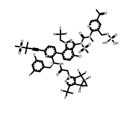 CC(=O)c1cnc(N(C)C(=O)N(c2nn(CC(F)(F)F)c3c(-c4ccc(C#CC(C)(C)S(C)(=O)=O)nc4[C@H](Cc4cc(F)cc(F)c4)NC(=O)Cn4nc(C(F)(F)F)c5c4C(F)(F)[C@@H]4C[C@H]54)ccc(Cl)c23)S(C)(=O)=O)c(COP(=O)(O)O)c1